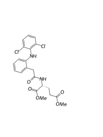 COC(=O)CC[C@@H](NC(=O)Cc1ccccc1Nc1c(Cl)cccc1Cl)C(=O)OC